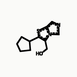 OCc1c(C2CCCC2)sc2cncn12